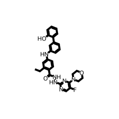 CCc1cc(Nc2cccc(-c3ccccc3O)c2)ccc1C(=O)NNc1ncc(F)c(N2CCOCC2)n1